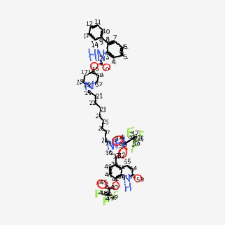 O=C(Nc1ccccc1-c1ccccc1)OC1CCN(CCCCCCCCCNC[C@H](OC(=O)C(F)(F)F)c2ccc(OC(=O)C(F)(F)F)c3[nH]c(=O)ccc23)CC1